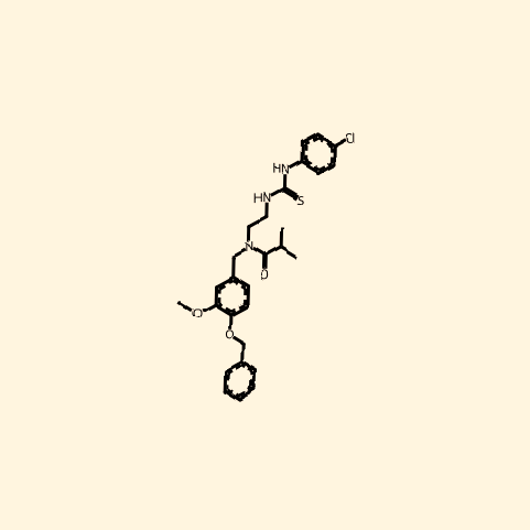 COc1cc(CN(CCNC(=S)Nc2ccc(Cl)cc2)C(=O)C(C)C)ccc1OCc1ccccc1